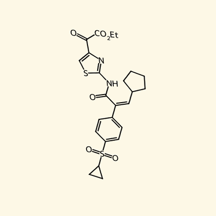 CCOC(=O)C(=O)c1csc(NC(=O)C(=CC2CCCC2)c2ccc(S(=O)(=O)C3CC3)cc2)n1